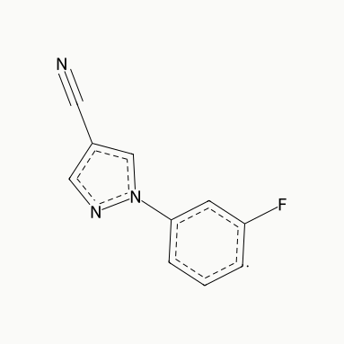 N#Cc1cnn(-c2cc[c]c(F)c2)c1